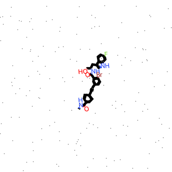 CNC(=O)c1ccc(C#Cc2ccc(Br)c(C(=O)NC(CO)Cc3c[nH]c4cc(F)ccc34)c2)cc1